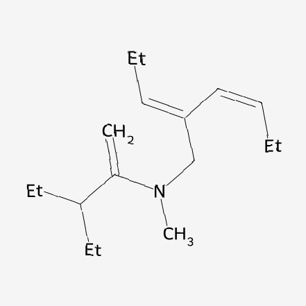 C=C(C(CC)CC)N(C)CC(/C=C\CC)=C/CC